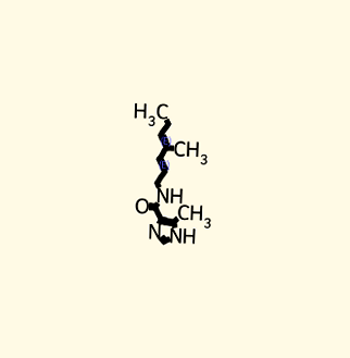 CC/C=C(C)/C=C/CNC(=O)c1nc[nH]c1C